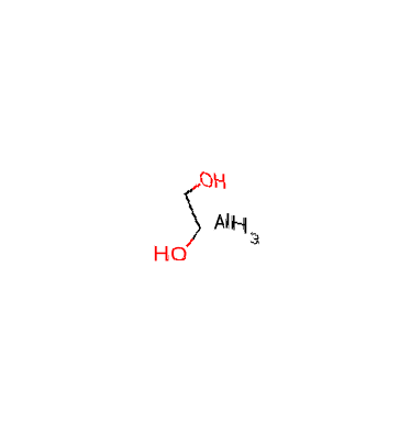 OCCO.[AlH3]